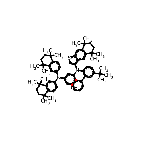 Cc1cc(N(c2ccc3c(c2)C(C)(C)CCC3(C)C)c2ccc3c(c2)C(C)(C)CCC3(C)C)cc(N(c2ccc(C(C)(C)C)cc2-c2ccccc2)c2csc3cc4c(cc23)C(C)(C)CCC4(C)C)c1